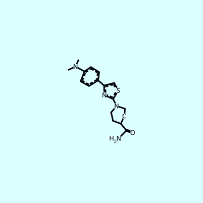 CN(C)c1ccc(-c2csc(N3CCC(C(N)=O)CC3)n2)cc1